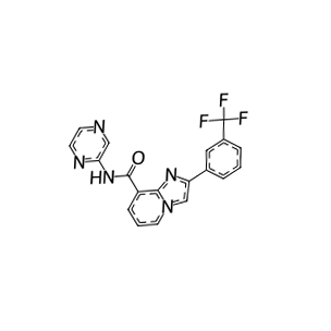 O=C(Nc1cnccn1)c1cccn2cc(-c3cccc(C(F)(F)F)c3)nc12